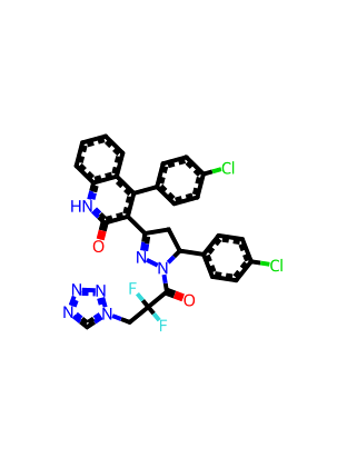 O=C(N1N=C(c2c(-c3ccc(Cl)cc3)c3ccccc3[nH]c2=O)CC1c1ccc(Cl)cc1)C(F)(F)Cn1cnnn1